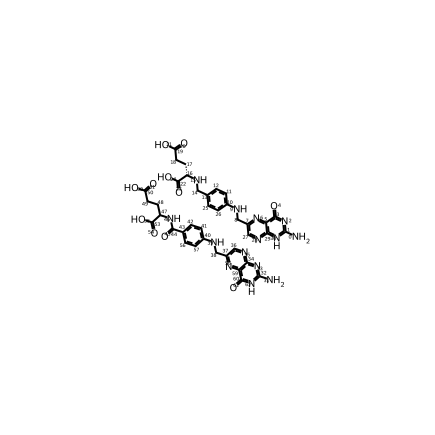 Nc1nc(=O)c2nc(CNc3ccc(CN[C@@H](CCC(=O)O)C(=O)O)cc3)cnc2[nH]1.Nc1nc2ncc(CNc3ccc(C(=O)NC(CCC(=O)O)C(=O)O)cc3)nc2c(=O)[nH]1